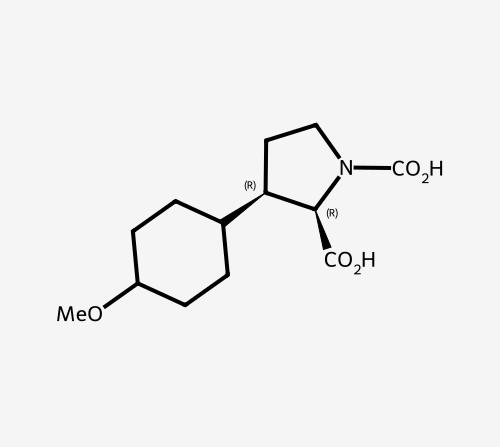 COC1CCC([C@H]2CCN(C(=O)O)[C@H]2C(=O)O)CC1